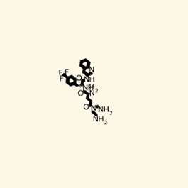 NCCN(CN)C(=O)CC[C@@H](N)C(=O)N[C@H](Cc1ccc(C(F)(F)F)cc1)C(=O)Nc1cnc2ccccc2c1